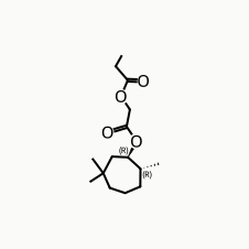 CCC(=O)OCC(=O)O[C@@H]1CC(C)(C)CCC[C@H]1C